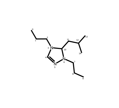 CCCN1C=NN(CCC)C1CC(C)C